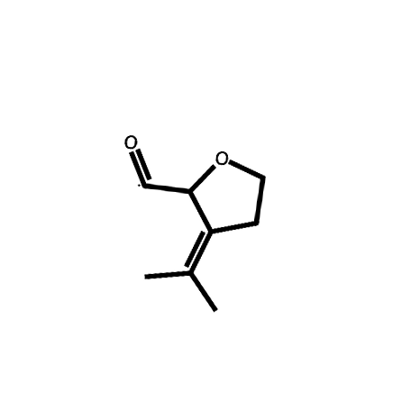 CC(C)=C1CCOC1[C]=O